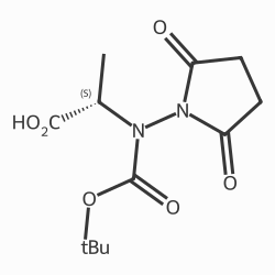 C[C@@H](C(=O)O)N(C(=O)OC(C)(C)C)N1C(=O)CCC1=O